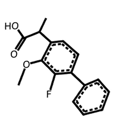 COc1c(C(C)C(=O)O)ccc(-c2ccccc2)c1F